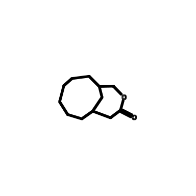 O=C1CC2CCCCCCC(CO1)C2